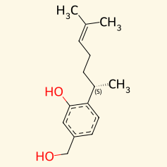 CC(C)=CCC[C@H](C)c1ccc(CO)cc1O